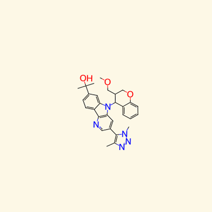 COCC1COc2ccccc2C1n1c2cc(C(C)(C)O)ccc2c2ncc(-c3c(C)nnn3C)cc21